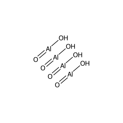 [O]=[Al][OH].[O]=[Al][OH].[O]=[Al][OH].[O]=[Al][OH]